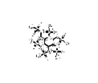 O=S(=O)(OC[C@@H](OS(=O)(=O)C(F)(F)F)[C@@H](OS(=O)(=O)C(F)(F)F)[C@H](OS(=O)(=O)C(F)(F)F)[C@@H](COS(=O)(=O)C(F)(F)F)OS(=O)(=O)C(F)(F)F)C(F)(F)F